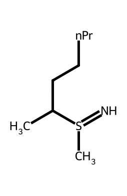 CCCCCC(C)S(C)=N